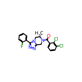 C[C@H]1Cn2c(nnc2-c2ccccc2F)CN1C(=O)c1cccc(Cl)c1Cl